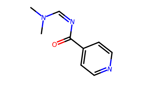 CN(C)/C=N\C(=O)c1ccncc1